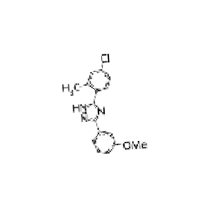 COc1cccc(-c2n[nH]c(-c3ccc(Cl)cc3C)n2)c1